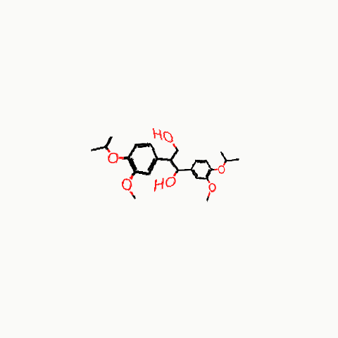 COc1cc(C(O)C(CO)c2ccc(OC(C)C)c(OC)c2)ccc1OC(C)C